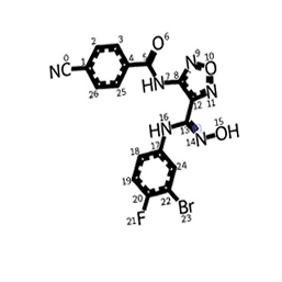 N#Cc1ccc(C(=O)Nc2nonc2/C(=N\O)Nc2ccc(F)c(Br)c2)cc1